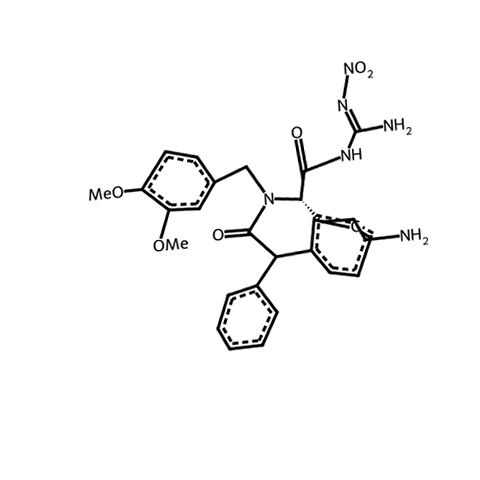 COc1ccc(CN(C(=O)C(c2ccccc2)c2ccccc2)[C@@H](CCCN)C(=O)NC(N)=N[N+](=O)[O-])cc1OC